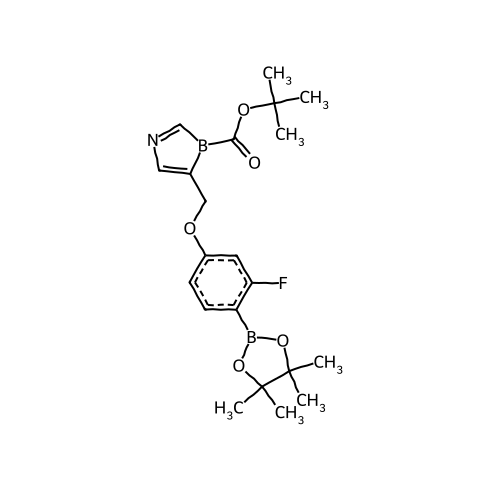 CC(C)(C)OC(=O)B1C=NC=C1COc1ccc(B2OC(C)(C)C(C)(C)O2)c(F)c1